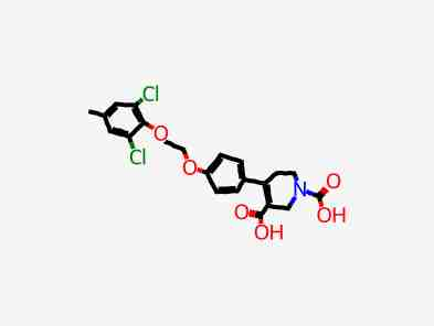 Cc1cc(Cl)c(OCCOc2ccc(C3=C(C(=O)O)CN(C(=O)O)CC3)cc2)c(Cl)c1